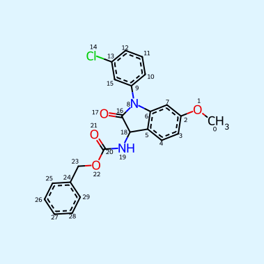 COc1ccc2c(c1)N(c1cccc(Cl)c1)C(=O)C2NC(=O)OCc1ccccc1